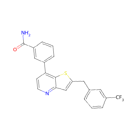 NC(=O)c1cccc(-c2ccnc3cc(Cc4cccc(C(F)(F)F)c4)sc23)c1